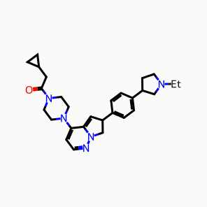 CCN1CCC(c2ccc(C3C=C4C(N5CCN(C(=O)CC6CC6)CC5)=CC=NN4C3)cc2)C1